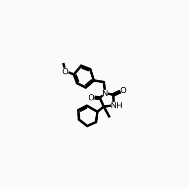 COc1ccc(CN2C(=O)NC(C)(C3C=CCCC3)C2=O)cc1